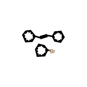 Brc1ccccc1.C(#Cc1ccccc1)c1ccccc1